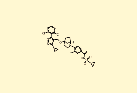 O=C(NS(=O)(=O)C1CC1)c1ccc(N2CCC3(OCc4c(-c5c(Cl)cccc5Cl)noc4C4CC4)CC[C@H]2C3)c(F)c1